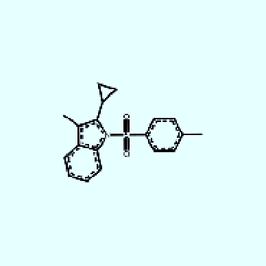 Cc1ccc(S(=O)(=O)n2c(C3CC3)c(C)c3ccccc32)cc1